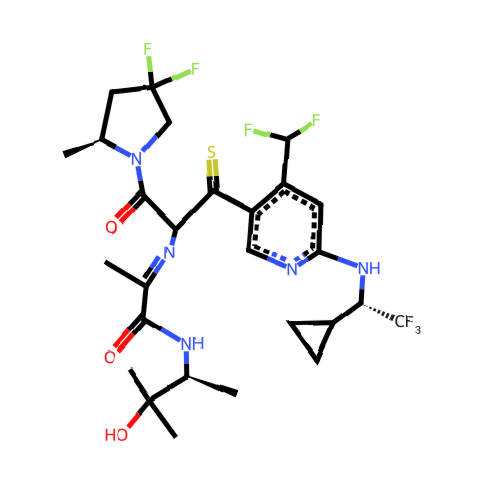 C/C(=N\C(C(=O)N1CC(F)(F)C[C@@H]1C)C(=S)c1cnc(N[C@@H](C2CC2)C(F)(F)F)cc1C(F)F)C(=O)N[C@@H](C)C(C)(C)O